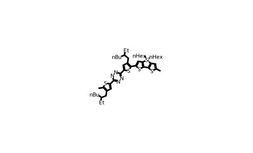 CCCCCC[Si]1(CCCCCC)c2cc(C)sc2-c2sc(-c3sc(-c4nnc(-c5cc(CC(CC)CCCC)c(C)s5)nn4)cc3CC(CC)CCCC)cc21